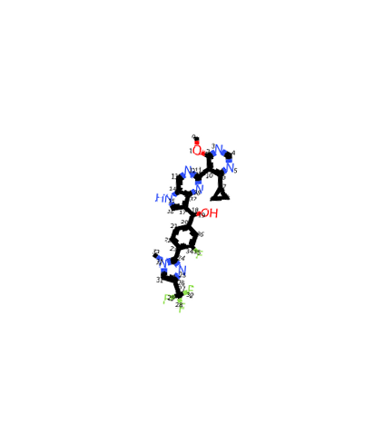 COc1ncnc(C2CC2)c1-c1ncc2[nH]cc(C(O)c3ccc(-c4nc(C(F)(F)F)cn4C)c(F)c3)c2n1